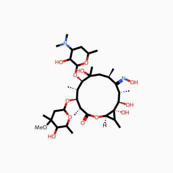 COC1(C)CC(O[C@H]2[C@H](C)[C@@H](OC3OC(C)CC(N(C)C)C3O)C(C)(O)C[C@@H](C)C(=NO)[C@H](C)[C@@H](O)[C@@]3(O)C(C)[C@H]3OC(=O)[C@@H]2C)OC(C)C1O